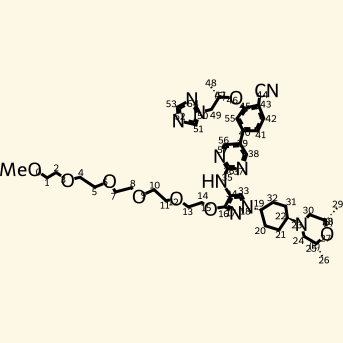 COCCOCCOCCOCCOCCOc1nn([C@H]2CC[C@H](N3C[C@@H](C)O[C@@H](C)C3)CC2)cc1Nc1ncc(-c2ccc(C#N)c(O[C@@H](C)Cn3cncn3)c2)cn1